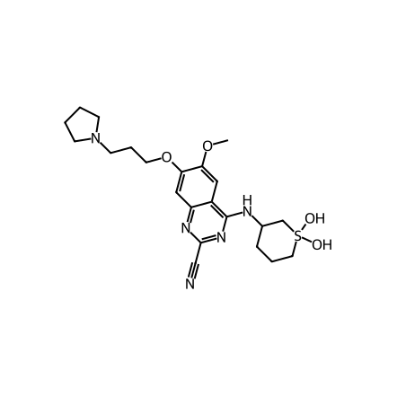 COc1cc2c(NC3CCCS(O)(O)C3)nc(C#N)nc2cc1OCCCN1CCCC1